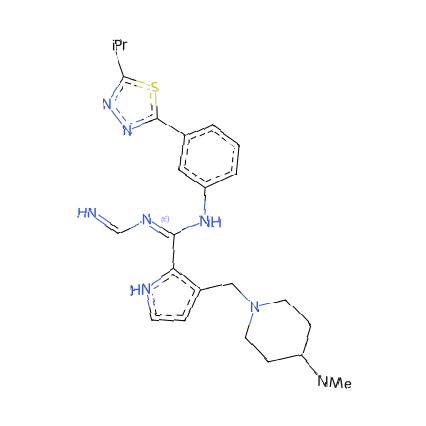 CNC1CCN(Cc2cc[nH]c2/C(=N\C=N)Nc2cccc(-c3nnc(C(C)C)s3)c2)CC1